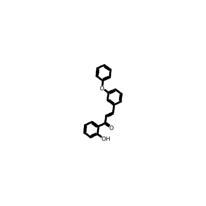 O=C(/C=C/c1cccc(Oc2ccccc2)c1)c1ccccc1O